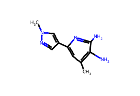 Cc1cc(-c2cnn(C)c2)nc(N)c1N